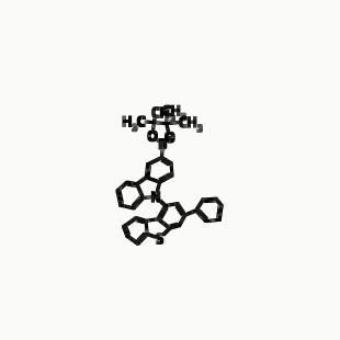 CC1(C)OB(c2ccc3c(c2)c2ccccc2n3-c2cc(-c3ccccc3)cc3sc4ccccc4c23)OC1(C)C